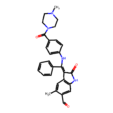 Cc1cc2c(cc1C=O)NC(=O)/C2=C(\Nc1ccc(C(=O)N2CCN(C)CC2)cc1)c1ccccc1